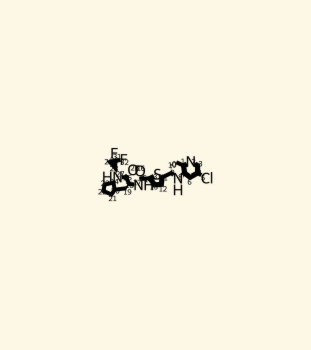 Cc1ncc(Cl)cc1N[C@@H](C)c1ccc(C(=O)N[C@@H](CC2CCCC2)C(=O)N[C@@H]2CC2(F)F)s1